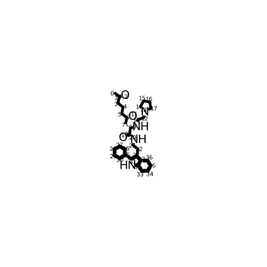 CC(=O)CCCCC[C@H](NC(=O)CN1CCCC1)C(=O)NCCc1c(-c2ccccc2)[nH]c2ccccc12